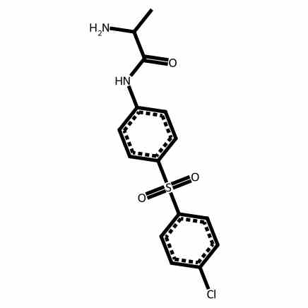 CC(N)C(=O)Nc1ccc(S(=O)(=O)c2ccc(Cl)cc2)cc1